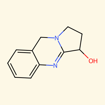 OC1CCN2Cc3ccccc3N=C12